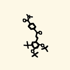 CN(C)C(=O)c1ccc(C(=O)C=Cc2cc(C(C)(C)C)c(OC(C)(C)C)cc2OC(C)(C)C)cc1